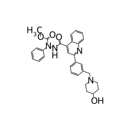 COC(=O)N(NC(=O)c1cc(-c2cccc(CN3CCC(O)CC3)c2)nc2ccccc12)c1ccccc1